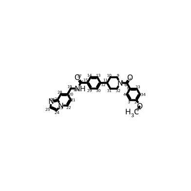 COc1ccc(C(=O)N2CCC(c3ccc(C(=O)NCc4ccn5ccnc5c4)cc3)CC2)cc1